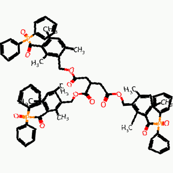 Cc1cc(C)c(C(=O)P(=O)(c2ccccc2)c2ccccc2)c(C)c1COC(=O)CC(CC(=O)OCc1c(C)cc(C)c(C(=O)P(=O)(c2ccccc2)c2ccccc2)c1C)C(=O)OCc1c(C)cc(C)c(C(=O)P(=O)(c2ccccc2)c2ccccc2)c1C